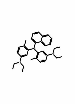 CCN(CC)c1ccc(C)c(C(c2cc(N(CC)CC)ccc2C)c2cccc3ccccc23)c1